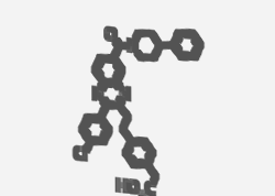 O=C(O)Cc1ccc(CCc2nc3cc(C(=O)N4CCC(c5ccccc5)CC4)ccc3nc2-c2ccc(Cl)cc2)cc1